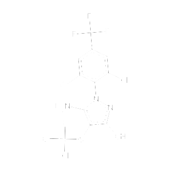 Cc1nn(-c2c(Cl)cc(C(F)(F)F)cc2Cl)c(N)c1SC(Cl)(Cl)Cl